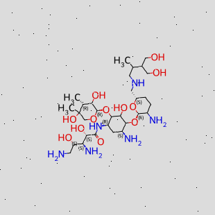 CC(CNC[C@@H]1CCC(N)[C@@H](OC2C(O)C(O[C@H]3OCC(C)(O)[C@H](C)C3O)[C@H](NC(=O)[C@@H](O)[C@@H](N)[C@@H](O)CN)C[C@@H]2N)O1)C(CO)CO